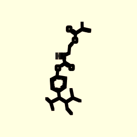 C=C(C)C(=O)OCCNC(=O)Oc1ccc(C(C(C)C)C(CC)C(C)C)cc1